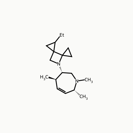 CCC1CC12CN([C@@H]1CN(C)[C@H](C)C=C[C@H]1C)C21CC1